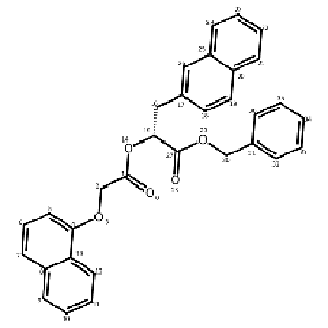 O=C(COc1cccc2ccccc12)O[C@H](Cc1ccc2ccccc2c1)C(=O)OCc1ccccc1